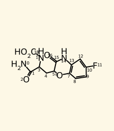 NC(=O)C(CC1Oc2ccc(F)cc2NC1=O)NC(=O)O